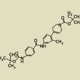 Cc1cc(NC(=O)c2ccc(NC(=O)OC(C)(C)C)cc2)ccc1C1=CCN(C(=O)OC(C)(C)C)CC1